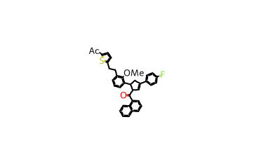 COc1c(CCc2ccc(C(C)=O)s2)cccc1C1CC(c2ccc(F)cc2)=CC1C(=O)c1cccc2ccccc12